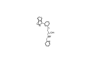 O[C@H](CNCc1ccccn1)COc1cccc(-c2noc3ccsc23)c1